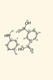 CNc1ccc(C)cc1.O=C(O)c1cccc(C(=O)O)c1